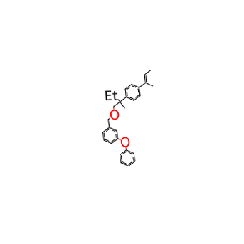 CC=C(C)c1ccc(C(C)(CC)COCc2cccc(Oc3ccccc3)c2)cc1